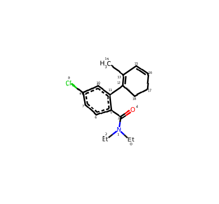 CCN(CC)C(=O)c1ccc(Cl)cc1C1=C(C)C=CCC1